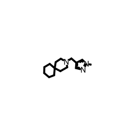 Cn1cc(CN2CCC3(CCCCC3)CC2)cn1